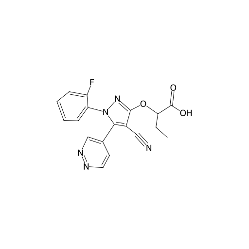 CCC(Oc1nn(-c2ccccc2F)c(-c2ccnnc2)c1C#N)C(=O)O